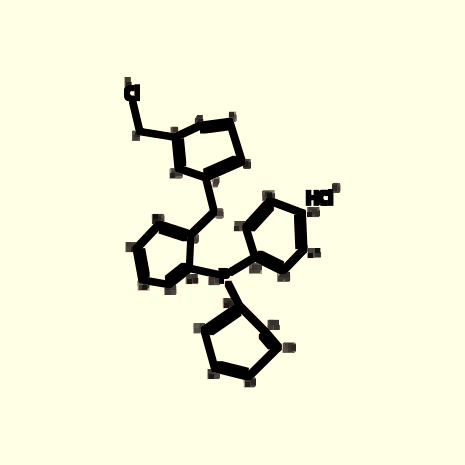 Cl.ClCc1cccc(Cc2ccccc2P(c2ccccc2)c2ccccc2)c1